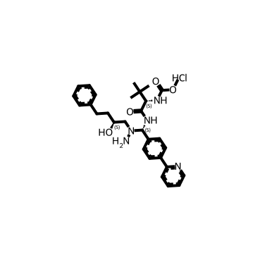 COC(=O)N[C@H](C(=O)N[C@H](c1ccc(-c2ccccn2)cc1)N(N)C[C@@H](O)CCc1ccccc1)C(C)(C)C.Cl